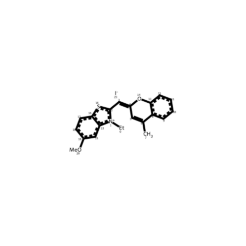 CC[n+]1c(/C=C2\C=C(C)c3ccccc3O2)sc2ccc(OC)cc21.[I-]